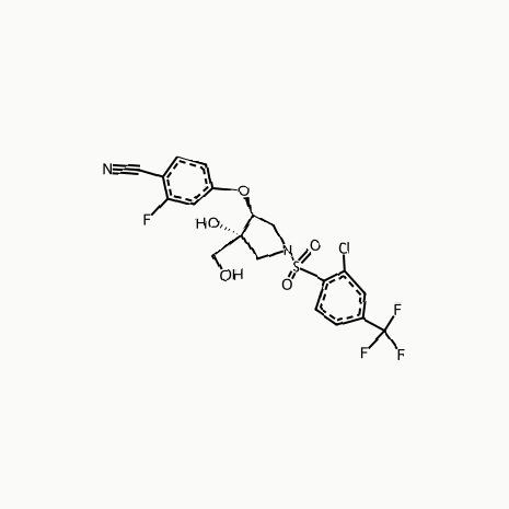 N#Cc1ccc(O[C@H]2CN(S(=O)(=O)c3ccc(C(F)(F)F)cc3Cl)C[C@@]2(O)CO)cc1F